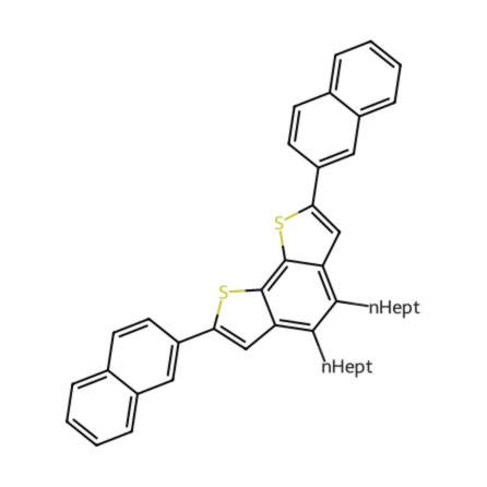 CCCCCCCc1c(CCCCCCC)c2cc(-c3ccc4ccccc4c3)sc2c2sc(-c3ccc4ccccc4c3)cc12